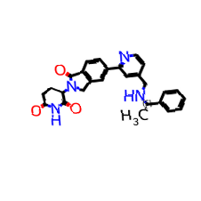 C[C@H](NCc1ccnc(-c2ccc3c(c2)CN(C2CCC(=O)NC2=O)C3=O)c1)c1ccccc1